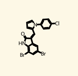 O=C1Nc2c(Br)cc(Br)cc2C1=Cc1cccn1-c1ccc(Cl)cc1